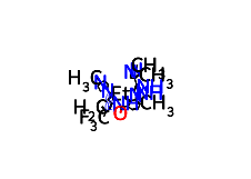 C=C(/C=C(\C=C(/CC)N1CCN(C)CC1)NC(=O)c1ccc(C)c(N2C=C(c3cnn(C)c3C)NN2)c1)C(F)(F)F